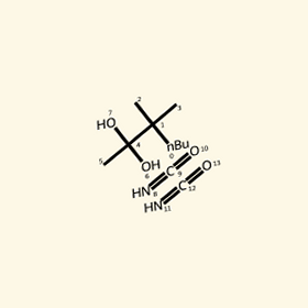 CCCCC(C)(C)C(C)(O)O.N=C=O.N=C=O